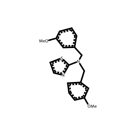 COc1cccc(CN(Cc2cccc(OC)c2)c2nccs2)c1